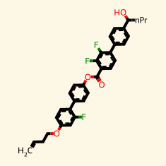 C=CCCOc1ccc(-c2ccc(OC(=O)c3ccc(-c4ccc(C(O)CCC)cc4)c(F)c3F)cc2)c(F)c1